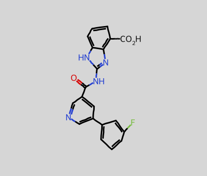 O=C(Nc1nc2c(C(=O)O)cccc2[nH]1)c1cncc(-c2cccc(F)c2)c1